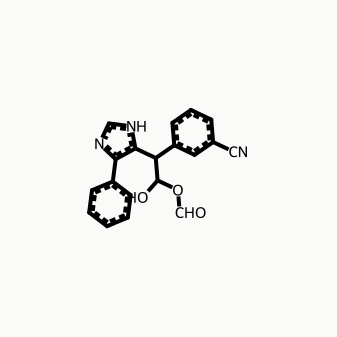 N#Cc1cccc(C(c2[nH]cnc2-c2ccccc2)C(O)OC=O)c1